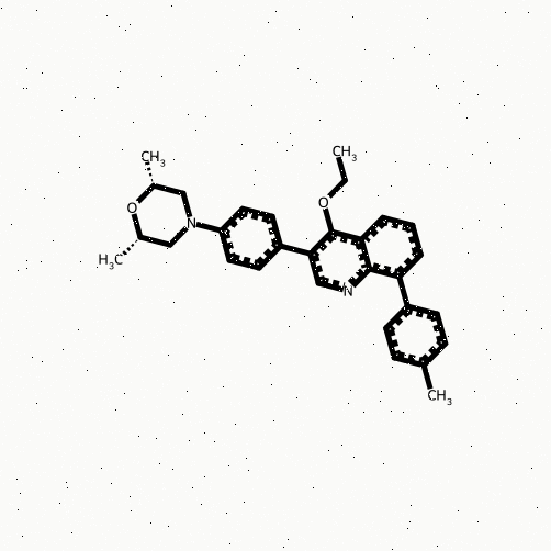 CCOc1c(-c2ccc(N3C[C@@H](C)O[C@@H](C)C3)cc2)cnc2c(-c3ccc(C)cc3)cccc12